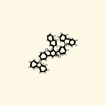 c1ccc2cc(-c3c4oc5ccc(-n6c7ccccc7c7ccccc76)cc5c4cc4oc5ccc(-n6c7ccccc7c7ccccc76)cc5c34)ccc2c1